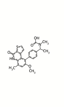 COc1cc(C)c2[nH]c(=O)c3sccc3c2c1-c1ccc(C(C)N(C)C(=O)O)cc1